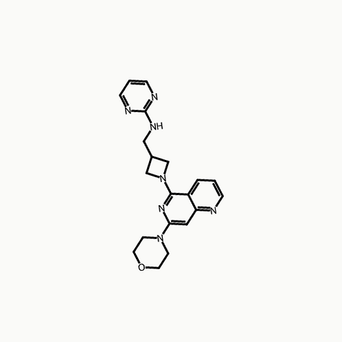 c1cnc(NCC2CN(c3nc(N4CCOCC4)cc4ncccc34)C2)nc1